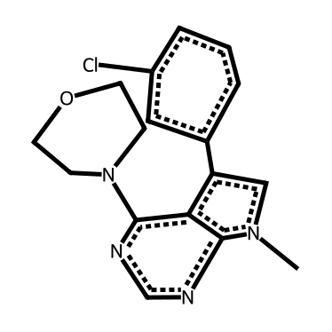 Cn1cc(-c2cccc(Cl)c2)c2c(N3CCOCC3)ncnc21